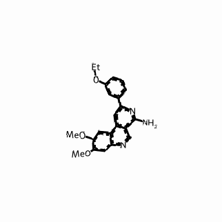 CCOc1cccc(-c2cc3c(cnc4cc(OC)c(OC)cc43)c(N)n2)c1